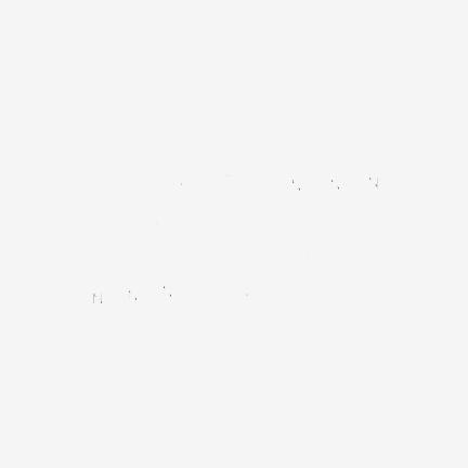 [N-]=[N+]=Nc1cccc2c(N=[N+]=[N-])cccc12